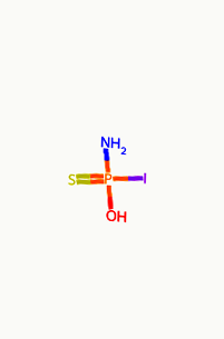 NP(O)(=S)I